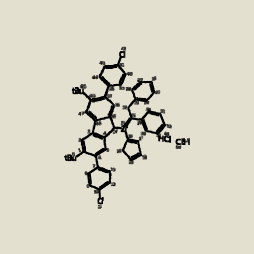 CC(C)(C)c1cc2c(cc1-c1ccc(Cl)cc1)[CH](/[Zr]([C]1=CC=CC1)=[C](\Cc1ccccc1)c1ccccc1)c1cc(-c3ccc(Cl)cc3)c(C(C)(C)C)cc1-2.Cl.Cl